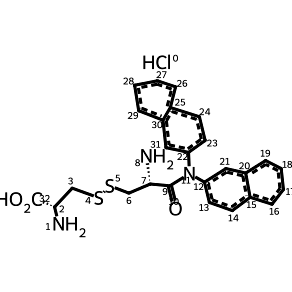 Cl.N[C@@H](CSSC[C@H](N)C(=O)N(c1ccc2ccccc2c1)c1ccc2ccccc2c1)C(=O)O